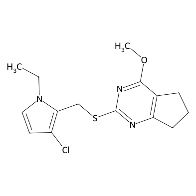 CCn1ccc(Cl)c1CSc1nc2c(c(OC)n1)CCC2